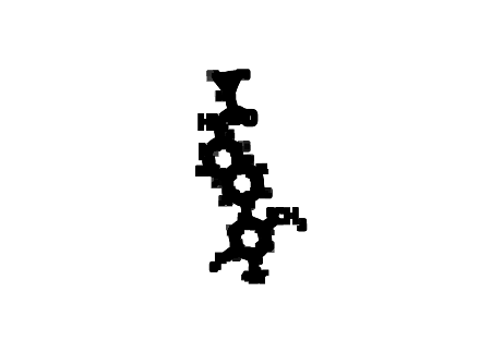 Cc1cc(Br)c(F)cc1-c1ccc2cc(NC(=O)C3CC3)ncc2c1